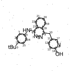 CC(C)(C)c1ccc(Nc2nnc(Cc3ccc(O)nc3)c3ccccc23)cc1